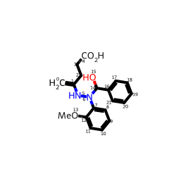 C=C(CCC(=O)O)NN(c1ccccc1OC)C(O)c1ccccc1